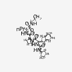 C=CCNC(=O)C(=O)C(CCC)NC(=O)[C@@H]1CCCN1C(=O)C(NC(=O)NC1CCCC1)C1Cc2ccccc2C1